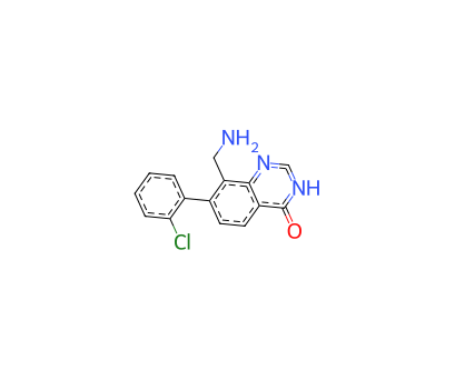 NCc1c(-c2ccccc2Cl)ccc2c(=O)[nH]cnc12